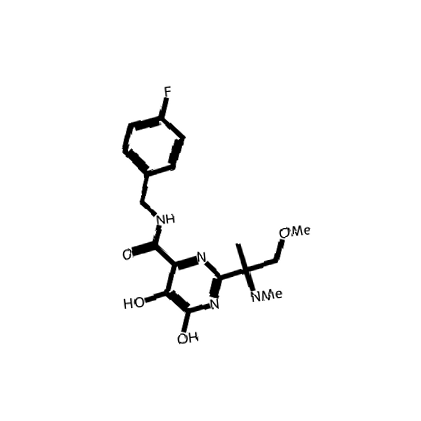 CNC(C)(COC)c1nc(O)c(O)c(C(=O)NCc2ccc(F)cc2)n1